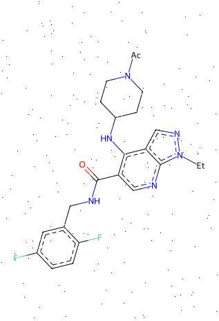 CCn1ncc2c(NC3CCN(C(C)=O)CC3)c(C(=O)NCc3cc(F)ccc3F)cnc21